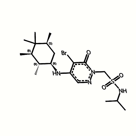 CC(C)NS(=O)(=O)Cn1ncc(N[C@@H]2C[C@H](C)C(C)(C)[C@H](C)[C@H]2C)c(Br)c1=O